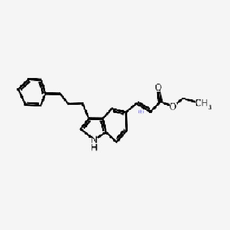 CCOC(=O)/C=C/c1ccc2[nH]cc(CCCc3ccccc3)c2c1